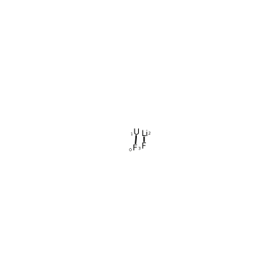 [F][U].[Li][F]